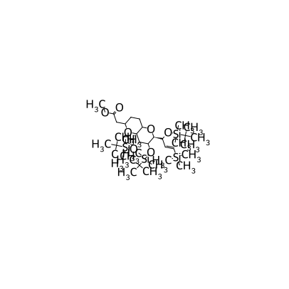 COC(=O)CC1CCC2O[C@@H](C(/C=C/[Si](C)(C)C)O[Si](C)(C)C(C)(C)C)C(O[Si](C)(C)C(C)(C)C)C(O[Si](C)(C)C(C)(C)C)[C@H]2O1